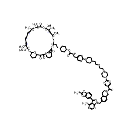 CO[C@H]1CC2CCCC(O2)C(=O)C(=O)N2CCCC[C@H]2C(=O)O[C@H](CC[C@H]2CC[C@H](OC(=O)NCc3cnc(N4CCN(CCOCCN5CCN(c6ncc(C(=O)N7CCc8cc(Cn9nc(-c%10ccc%11oc(N)nc%11c%10)c%10c(N)ncnc%109)ccc8C7)cn6)CC5)CC4)nc3)CC2)CC[C@H](C)/C=C(\C)[C@@H](O)CC(=O)[C@H](C)C[C@H](C)/C=C/C=C/C=C/1C